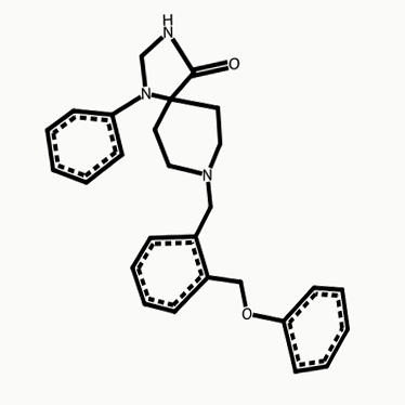 O=C1NCN(c2ccccc2)C12CCN(Cc1ccccc1COc1ccccc1)CC2